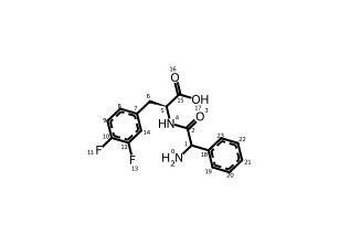 NC(C(=O)N[C@@H](Cc1ccc(F)c(F)c1)C(=O)O)c1ccccc1